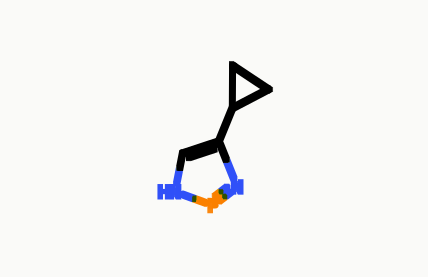 c1[nH]pnc1C1CC1